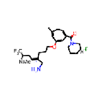 CNC(C/C=C(/CN)CCCOC1=CC(C(=O)N2CCC[C@@H](F)C2)=CCC(C)=C1)C(F)(F)F